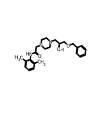 Cc1cccc(C)c1NC(=O)CN1CCN(CC(O)COCc2ccccc2)CC1